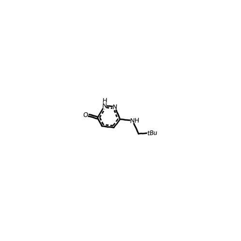 CC(C)(C)CNc1ccc(=O)[nH]n1